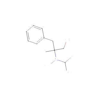 CCCC(F)N(C(=O)O)C(C)(CO)Cc1ccccc1